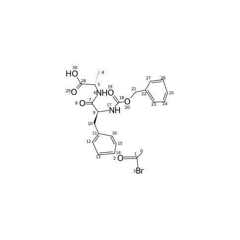 CC(=O)Br.C[C@H](NC(=O)[C@H](Cc1ccccc1)NC(=O)OCc1ccccc1)C(=O)O